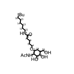 CC(=O)NC1C(OCCCCC(=O)NCCCCCCC(C)(C)C)CC(CO)C(O)C1O